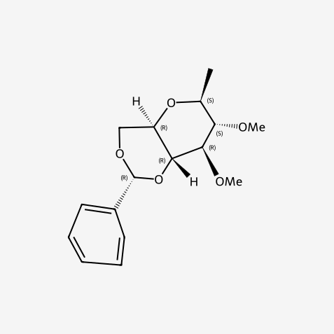 CO[C@@H]1[C@@H](OC)[C@H](C)O[C@@H]2CO[C@@H](c3ccccc3)O[C@@H]12